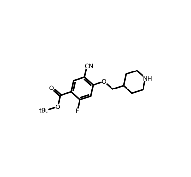 CC(C)(C)OC(=O)c1cc(C#N)c(OCC2CCNCC2)cc1F